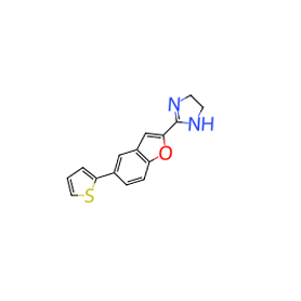 c1csc(-c2ccc3oc(C4=NCCN4)cc3c2)c1